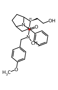 COc1ccc(CN(C)C(=O)N2C3CCC2[C@@H](CCO)N(c2ccccc2)C3)cc1